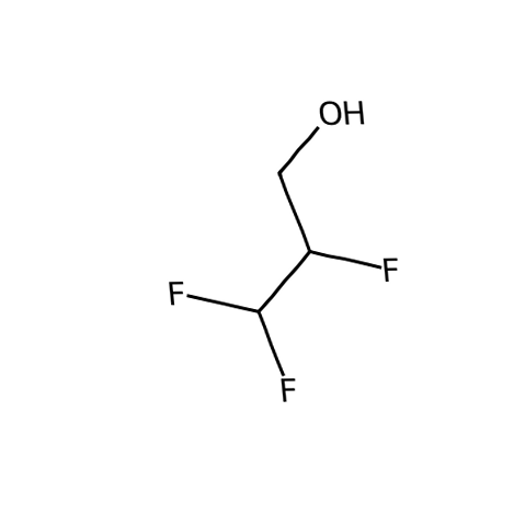 OCC(F)C(F)F